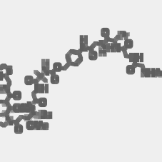 CC[C@H](C)[C@@H]([C@@H](CC(=O)N1CCC[C@H]1[C@H](OC)[C@@H](C)C(=O)NCc1nccs1)OC)N(C)C(=O)CNC(=O)C(C)(C)NC(=O)OCc1ccc(NC(=O)CNC(=O)C(NC(=O)CNC(=O)CNC(C)=O)C(C)C)cc1